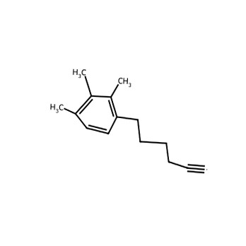 [C]#CCCCCc1ccc(C)c(C)c1C